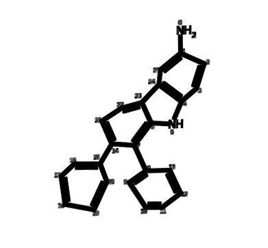 Nc1ccc2[nH]c3c(-c4ccccc4)c(-c4ccccc4)ccc3c2c1